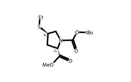 CCS[C@@H]1C[C@@H](C(=O)OC)N(C(=O)OC(C)(C)C)C1